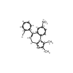 Cc1nc2n(c1C)-c1ccc([N+](=O)[O-])cc1C(c1ccccc1F)=NC2